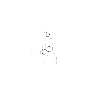 Cc1nc2c(C3CCNCC3)nc(N3CCOC(c4cnn(C)c4)C3)nc2c(=O)n1C